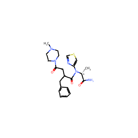 C[C@H](C(N)=O)N(C(=O)C(CC(=O)N1CCN(C)CC1)Cc1ccccc1)c1cscn1